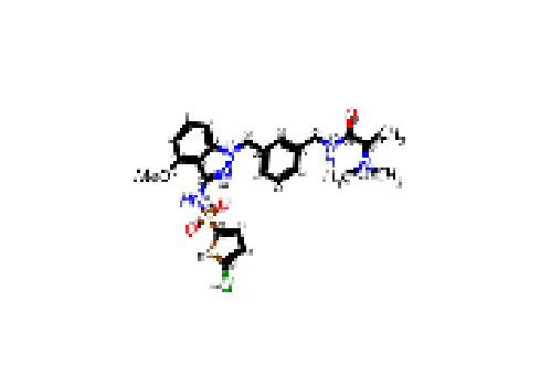 COc1cccc2c1c(NS(=O)(=O)c1ccc(Cl)s1)nn2Cc1cccc(CNC(=O)C(C)N(C)C)c1